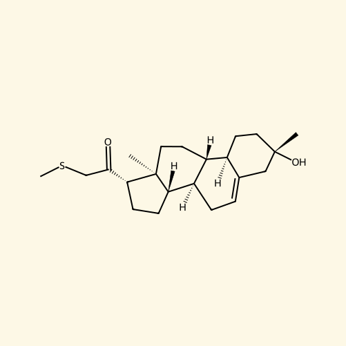 CSCC(=O)[C@H]1CC[C@H]2[C@@H]3CC=C4C[C@@](C)(O)CC[C@@H]4[C@H]3CC[C@]12C